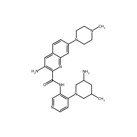 CC1CC(N)CN(c2ccncc2NC(=O)c2nc3cc(N4CCN(C)CC4)ccc3cc2N)C1